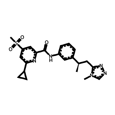 C[C@H](Cc1nncn1C)c1cccc(NC(=O)c2cc(S(C)(=O)=O)cc(C3CC3)n2)c1